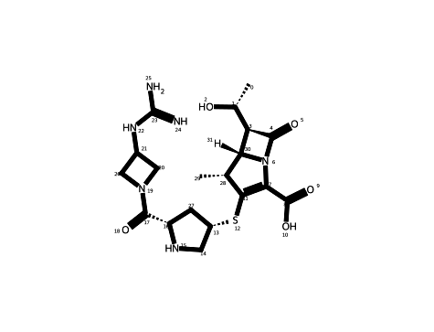 C[C@@H](O)[C@H]1C(=O)N2C(C(=O)O)=C(S[C@@H]3CN[C@H](C(=O)N4CC(NC(=N)N)C4)C3)[C@H](C)[C@H]12